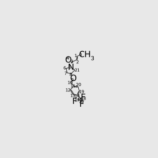 C/C=C/C(=O)N1CC[C@H](OCc2ccc(C(F)(F)F)cc2)C1